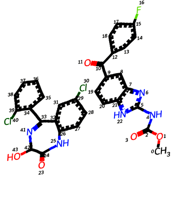 COC(=O)Nc1nc2cc(C(=O)c3ccc(F)cc3)ccc2[nH]1.O=C1Nc2ccc(Cl)cc2C(c2ccccc2Cl)=NC1O